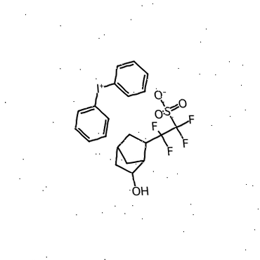 O=S(=O)([O-])C(F)(F)C(F)(F)C1CC2CC(O)C1C2.c1ccc([I+]c2ccccc2)cc1